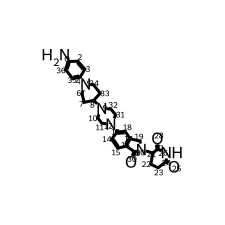 Nc1ccc(N2CCC(N3CCN(c4ccc5c(c4)CN(C4CCC(=O)NC4=O)C5=O)CC3)CC2)cc1